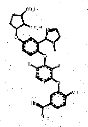 CN1CC=NC1c1cc(OC2CCC(C(=O)O)C2C(=O)O)ccc1Oc1c(F)cnc(Oc2cc(C(=N)N)ccc2O)c1F